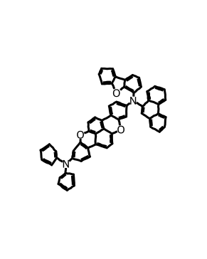 c1ccc(N(c2ccccc2)c2ccc3c(c2)Oc2ccc4c5c(ccc-3c25)Oc2cc(N(c3cc5ccccc5c5ccccc35)c3cccc5c3oc3ccccc35)ccc2-4)cc1